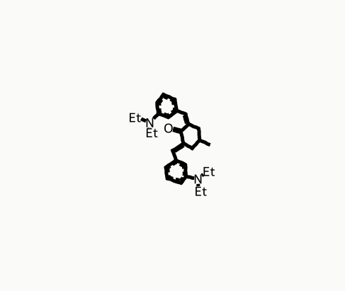 CCN(CC)c1cccc(/C=C2/CC(C)C/C(=C\c3cccc(N(CC)CC)c3)C2=O)c1